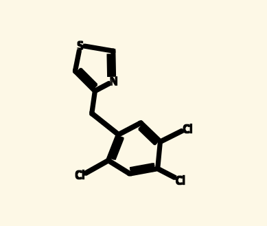 Clc1cc(Cl)c(Cc2cscn2)cc1Cl